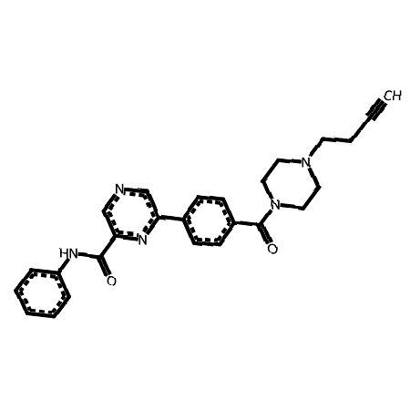 C#CCCN1CCN(C(=O)c2ccc(-c3cncc(C(=O)Nc4ccccc4)n3)cc2)CC1